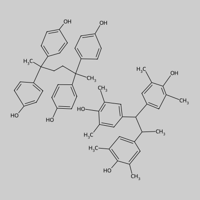 CC(CCC(C)(c1ccc(O)cc1)c1ccc(O)cc1)(c1ccc(O)cc1)c1ccc(O)cc1.Cc1cc(C(C)C(c2cc(C)c(O)c(C)c2)c2cc(C)c(O)c(C)c2)cc(C)c1O